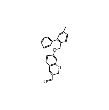 Cc1ccc(COc2ccc3c(c2)OCC(C=O)=C3)c(-c2ccccc2)c1